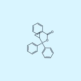 O=C(OS(c1ccccc1)(c1ccccc1)C1CC1)c1ccccc1